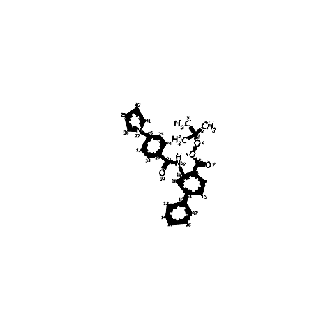 CC(C)(C)OOC(=O)c1ccc(-c2ccccc2)cc1NC(=O)c1ccc(-n2cccc2)cc1